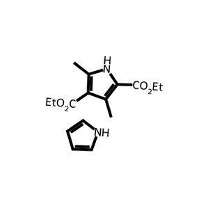 CCOC(=O)c1[nH]c(C)c(C(=O)OCC)c1C.c1cc[nH]c1